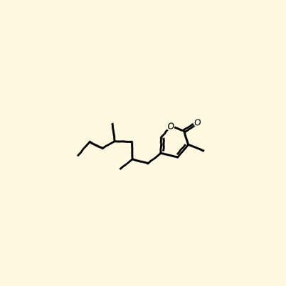 CCCC(C)CC(C)Cc1coc(=O)c(C)c1